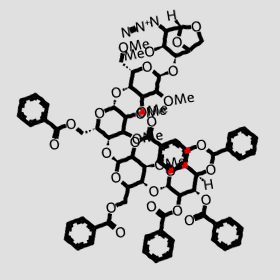 COC[C@@H]1O[C@@H](O[C@H]2C3CO[C@H](O3)C(N=[N+]=[N-])[C@@H]2OC)C(OC)C(OC)[C@@H]1O[C@H]1O[C@@H](COC(=O)c2ccccc2)[C@@H](O[C@@H]2OC(COC(=O)c3ccccc3)[C@@H](O[C@@H]3OC4COC(c5ccccc5)O[C@H]4[C@H](OC(=O)c4ccccc4)C3OC(=O)c3ccccc3)[C@H](OC)C2OC(=O)c2ccccc2)C(OC)C1OC